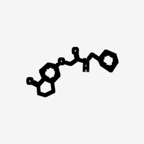 O=C(COc1ccc2c(c1)CCCC2=O)NCc1ccccc1